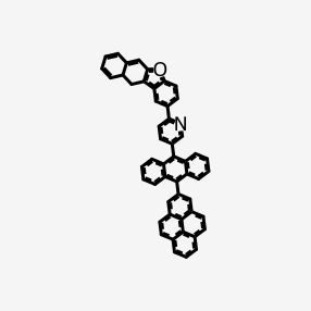 C1=CC2=Cc3oc4ccc(-c5ccc(-c6c7ccccc7c(-c7cc8ccc9cccc%10ccc(c7)c8c9%10)c7ccccc67)cn5)cc4c3CC2C=C1